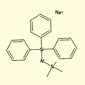 C[Si](C)(C)[N-][Si](c1ccccc1)(c1ccccc1)c1ccccc1.[Na+]